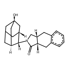 O=C1[C@H]2Cc3ccccc3C[C@H]2CN1[C@H]1[C@@H]2CC3C[C@H]1C[C@](O)(C3)C2